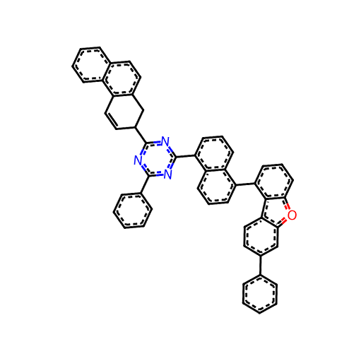 C1=CC(c2nc(-c3ccccc3)nc(-c3cccc4c(-c5cccc6oc7cc(-c8ccccc8)ccc7c56)cccc34)n2)Cc2ccc3ccccc3c21